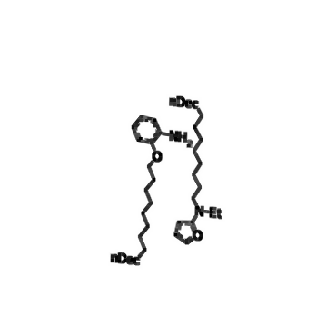 CCCCCCCCCCCCCCCCCCN(CC)c1ccco1.CCCCCCCCCCCCCCCCCCOc1ccccc1N